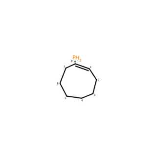 C1=CCCCCCC1.P